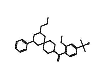 C=C(c1ccc(C(C)(C)F)cc1CC)N1CCC2(CC1)CC(CCC)CC(c1ccccc1)C2